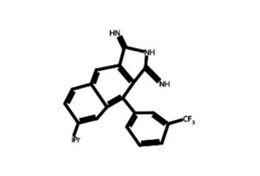 CC(C)c1ccc2cc3c(c(-c4cccc(C(F)(F)F)c4)c2c1)C(=N)NC3=N